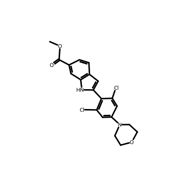 COC(=O)c1ccc2cc(-c3c(Cl)cc(N4CCOCC4)cc3Cl)[nH]c2c1